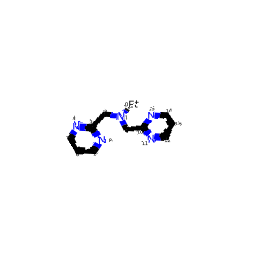 CCN(Cc1ncccn1)Cc1ncccn1